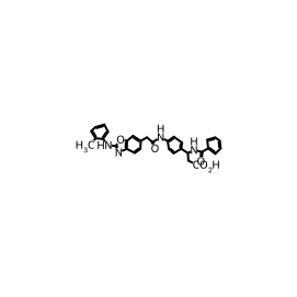 Cc1ccccc1Nc1nc2ccc(CC(=O)Nc3ccc(C(CC(=O)O)NC(=O)c4ccccc4)cc3)cc2o1